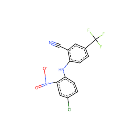 N#Cc1cc(C(F)(F)F)ccc1Nc1ccc(Cl)cc1[N+](=O)[O-]